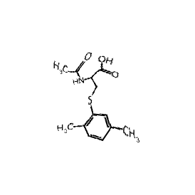 CC(=O)NC(CSc1cc(C)ccc1C)C(=O)O